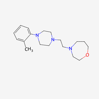 Cc1ccccc1N1CCN(CCN2CCCOCC2)CC1